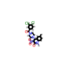 Cc1ccc2c(c1)c(N1CCN(C(=O)c3ccc(Cl)c(Cl)c3)CC1)c([N+](=O)[O-])c(=O)n2C